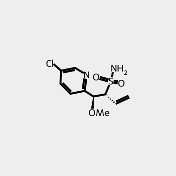 C=C[C@H]([C@@H](OC)c1ccc(Cl)cn1)S(N)(=O)=O